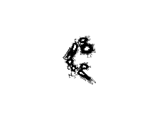 Cc1cc2oc3cc4oc5cc(C)c(-n6c7ccccc7c7ccccc76)cc5c4cc3c2cc1-n1c2ccccc2c2ccccc21